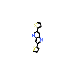 c1csc(-c2cnc3cc(-c4cccs4)cnc3c2)c1